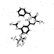 CC(C)C(=O)Oc1cc(C(O)CN(C)C(=O)OCc2ccccc2)ccc1OS(=O)(=O)N(C)C